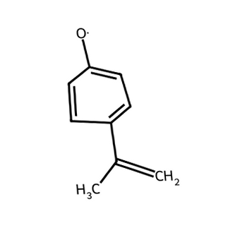 C=C(C)c1ccc([O])cc1